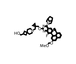 C#Cc1cccc2cc(OCOC)cc(-c3c(F)cc4c(N5CC6CCC(C6)C5)nc(OCC5(CN6CCC7(CC6)CC(CO)C7)CC5)nc4c3F)c12